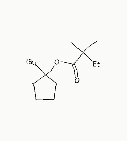 CCC(C)(C)C(=O)OC1(C(C)(C)C)CCCC1